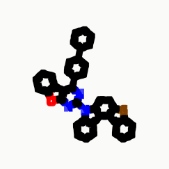 c1ccc(-c2ccc(-c3nc(-n4c5ccccc5c5c6c(ccc54)sc4ccccc46)nc4oc5ccccc5c34)cc2)cc1